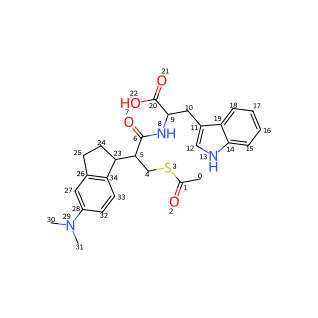 CC(=O)SCC(C(=O)NC(Cc1c[nH]c2ccccc12)C(=O)O)C1CCc2cc(N(C)C)ccc21